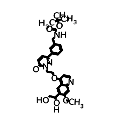 COc1cc2nccc(OCCn3nc(-c4cccc(CNC(=O)OC(C)(C)C)c4)ccc3=O)c2cc1C(O)CO